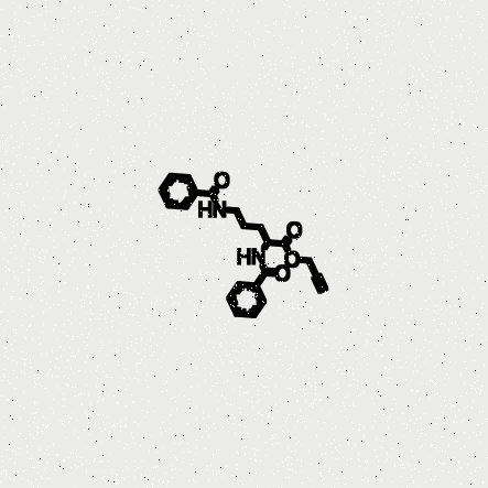 C#CCOC(=O)C(CCCNC(=O)c1ccccc1)NC(=O)c1ccccc1